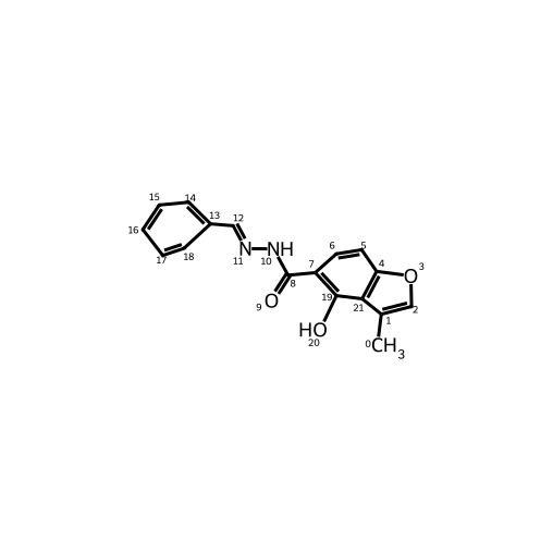 Cc1coc2ccc(C(=O)NN=Cc3ccccc3)c(O)c12